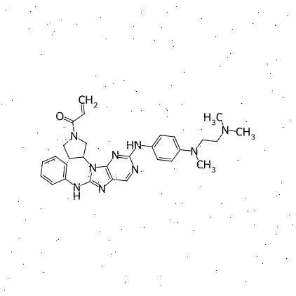 C=CC(=O)N1CCC(n2c(Nc3ccccc3)nc3cnc(Nc4ccc(N(C)CCN(C)C)cc4)nc32)C1